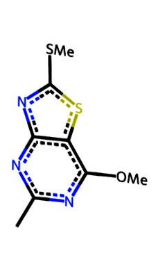 COc1nc(C)nc2nc(SC)sc12